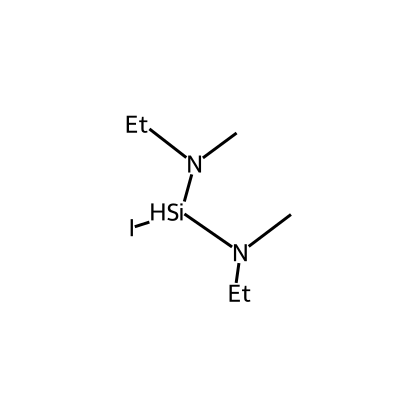 CCN(C)[SiH](I)N(C)CC